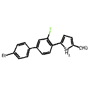 CCc1ccc(-c2ccc(C3=CC=C(C=O)[SeH2]3)c(F)c2)cc1